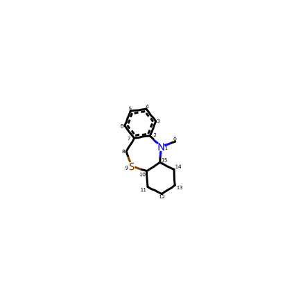 CN1c2ccccc2CSC2CCCCC21